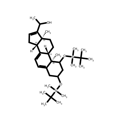 CC(O)C1=CC[C@H]2C3=CC=C4CC(O[Si](C)(C)C(C)(C)C)CC(O[Si](C)(C)C(C)(C)C)[C@]4(C)[C@H]3CC[C@]12C